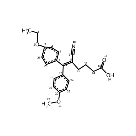 CCOc1ccc(C(=C(C#N)CCCC(=O)O)c2ccc(OC)cc2)cc1